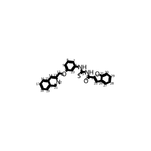 O=C(NC(=S)Nc1cccc(OCc2cc3ccccc3cn2)c1)c1cc2ccccc2o1